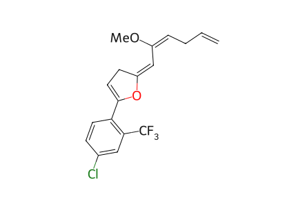 C=CC/C=C(\C=C1/CC=C(c2ccc(Cl)cc2C(F)(F)F)O1)OC